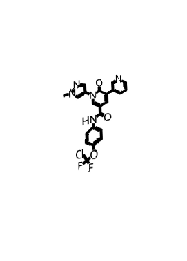 Cn1cc(-n2cc(C(=O)Nc3ccc(OC(F)(F)Cl)cc3)cc(-c3cccnc3)c2=O)cn1